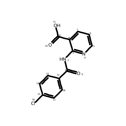 O=C(Nc1ncccc1C(=O)O)c1ccc(Cl)cc1